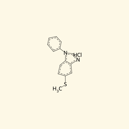 CSc1ccc2c(c1)ncn2-c1ccccc1.Cl